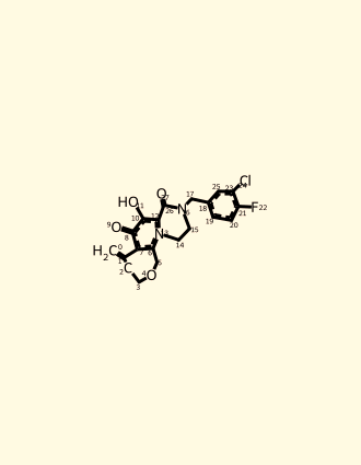 C=C1CCOCc2c1c(=O)c(O)c1n2CCN(Cc2ccc(F)c(Cl)c2)C1=O